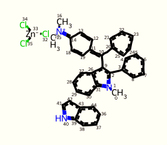 Cn1c(-c2ccccc2)c(C(=C2C=CC(=[N+](C)C)C=C2)c2ccccc2)c2ccccc21.[Cl][Zn-]([Cl])[Cl].c1ccc2[nH]ccc2c1